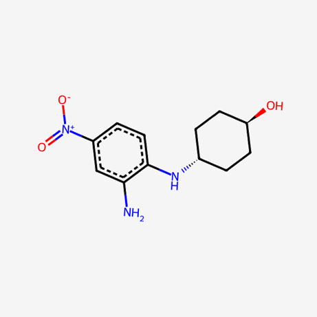 Nc1cc([N+](=O)[O-])ccc1N[C@H]1CC[C@H](O)CC1